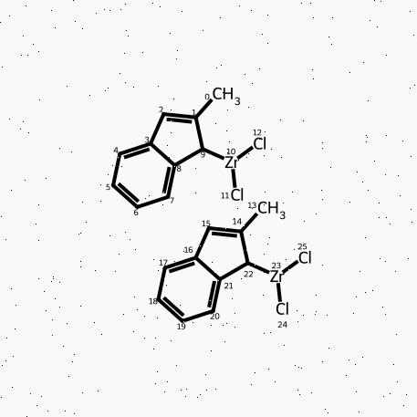 CC1=Cc2ccccc2[CH]1[Zr]([Cl])[Cl].CC1=Cc2ccccc2[CH]1[Zr]([Cl])[Cl]